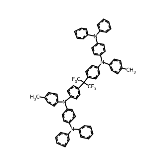 Cc1ccc(N(c2ccc(N(c3ccccc3)c3ccccc3)cc2)c2ccc(C(c3ccc(N(c4ccc(C)cc4)c4ccc(N(c5ccccc5)c5ccccc5)cc4)cc3)(C(F)(F)F)C(F)(F)F)cc2)cc1